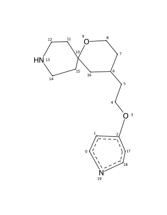 c1cc(OCCC2CCOC3(CCNCC3)C2)ccn1